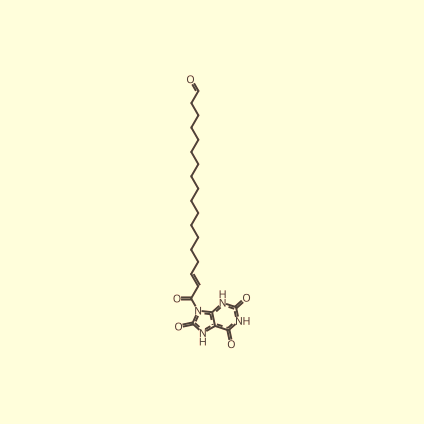 O=CCCCCCCCCCCCCCCC=CC(=O)n1c(=O)[nH]c2c(=O)[nH]c(=O)[nH]c21